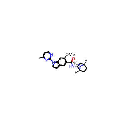 COc1cc2c(ccn2-c2nccc(C)n2)cc1C(=O)N[C@@H]1C[C@@H]2CC[C@H]1N2C#N